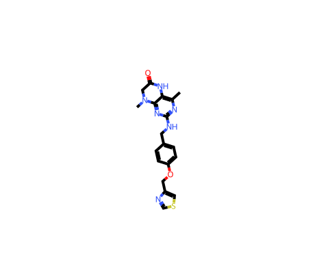 Cc1nc(NCc2ccc(OCc3cscn3)cc2)nc2c1NC(=O)CN2C